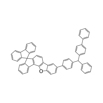 c1ccc(-c2ccc(C(c3ccccc3)c3ccc(-c4ccc5oc6c7c(ccc6c5c4)C4(c5ccccc5-c5ccccc54)c4ccccc4-7)cc3)cc2)cc1